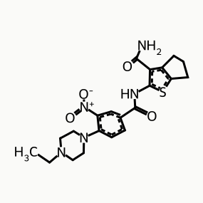 CCN1CCN(c2ccc(C(=O)Nc3sc4c(c3C(N)=O)CCC4)cc2[N+](=O)[O-])CC1